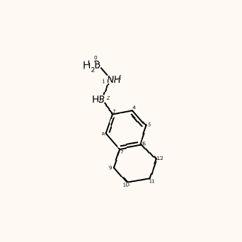 BNBc1ccc2c(c1)CCCC2